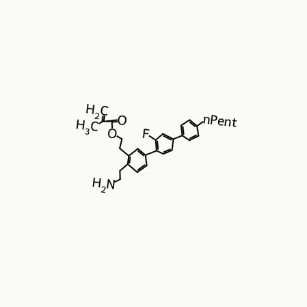 C=C(C)C(=O)OCCc1cc(-c2ccc(-c3ccc(CCCCC)cc3)cc2F)ccc1CCN